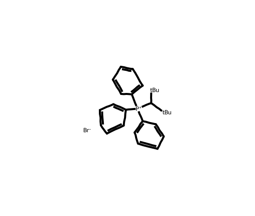 CC(C)(C)C(C(C)(C)C)[P+](c1ccccc1)(c1ccccc1)c1ccccc1.[Br-]